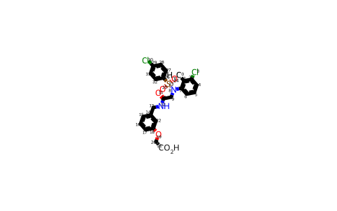 Cc1c(Cl)cccc1N(CC(=O)NCc1cccc(OCC(=O)O)c1)S(=O)(=O)c1ccc(Cl)cc1